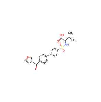 CC(C)C(NS(=O)(=O)c1ccc(-c2ccc(C(=O)c3ccoc3)cc2)cc1)C(=O)O